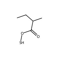 CCC(C)C(=O)OS